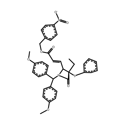 CCC1(Sc2ccccc2)C(=O)N(C(c2ccc(OC)cc2)c2ccc(OC)cc2)C1C=CC(=O)OCc1ccc([N+](=O)[O-])cc1